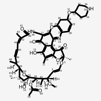 CO[C@H]1/C=C/O[C@@]2(C)Oc3c(C)c(O)c4c(=O)c(c5oc6c(nc-5c4c3C2=O)C=CC(OC2CCNCC2)C6)NC(=O)/C(C)=C\C=C\[C@H](C)[C@@H]2O[C@H]([C@H](O)[C@@H]2C)[C@H](OC(C)=O)[C@@H]1C